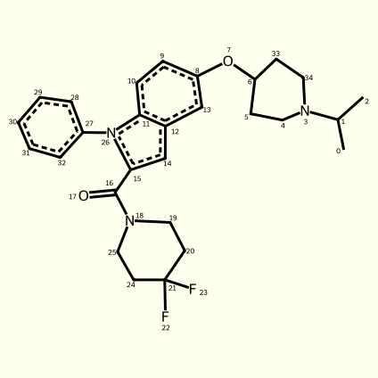 CC(C)N1CCC(Oc2ccc3c(c2)cc(C(=O)N2CCC(F)(F)CC2)n3-c2ccccc2)CC1